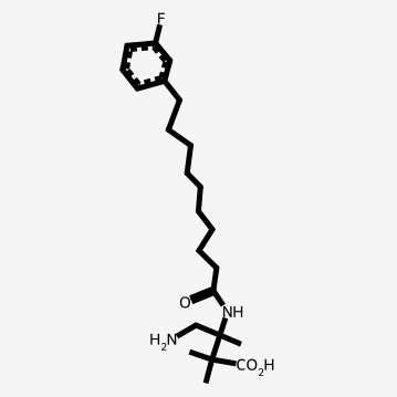 CC(CN)(NC(=O)CCCCCCCCCc1cccc(F)c1)C(C)(C)C(=O)O